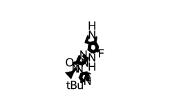 CC(C)(C)c1cc(-n2c3nc(Nc4cc5c(cc4F)CNCC5)ncc3c(=O)n2C2CC2)ccn1